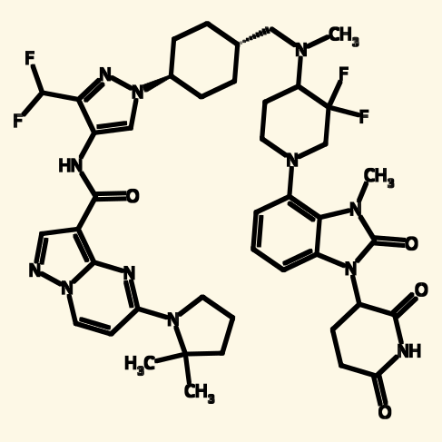 CN(C[C@H]1CC[C@H](n2cc(NC(=O)c3cnn4ccc(N5CCCC5(C)C)nc34)c(C(F)F)n2)CC1)C1CCN(c2cccc3c2n(C)c(=O)n3C2CCC(=O)NC2=O)CC1(F)F